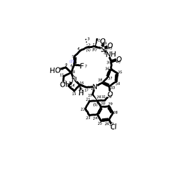 C[C@@H]1[C@@H](C)C/C=C(\F)C(CO)(CO)N2CC[C@H]2CN2C[C@@]3(CCCc4cc(Cl)ccc43)COc3ccc(cc32)C(=O)NS1(=O)=O